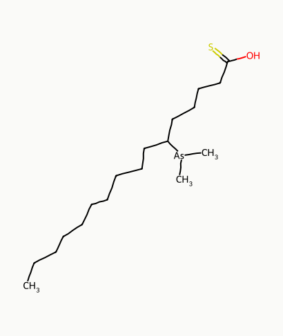 CCCCCCCCCCC(CCCCC(O)=S)[As](C)C